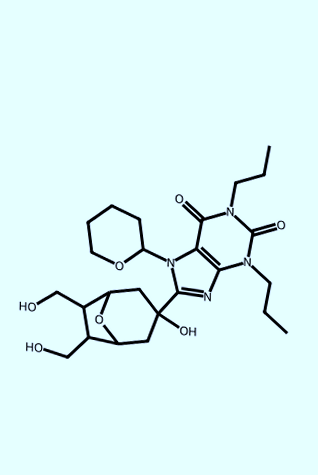 CCCn1c(=O)c2c(nc(C3(O)CC4OC(C3)C(CO)C4CO)n2C2CCCCO2)n(CCC)c1=O